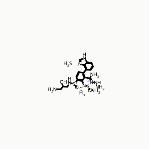 CN(SON)c1c([S+]([O-])NCC(O)CN)ccc(-c2cccc3[nH]cnc23)c1/C(N)=N/NN.S